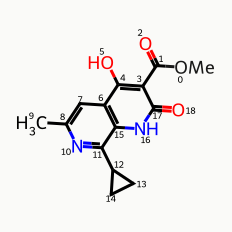 COC(=O)c1c(O)c2cc(C)nc(C3CC3)c2[nH]c1=O